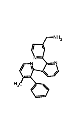 Cc1ccnc(-c2cccnc2-c2cc(CN)ccn2)c1-c1ccccc1